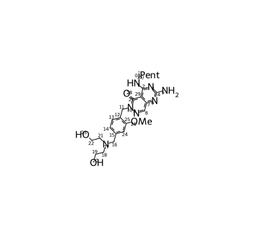 CCC[C@H](C)Nc1nc(N)nc2cnn(Cc3ccc(CN(CCO)CCO)cc3OC)c(=O)c12